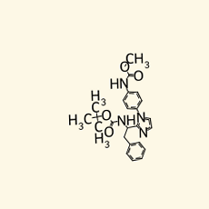 COC(=O)Nc1ccc(-n2ccnc2C(Cc2ccccc2)NC(=O)OC(C)(C)C)cc1